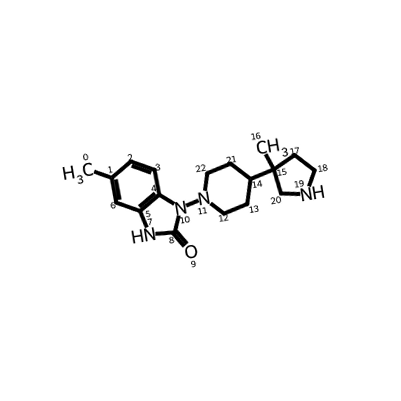 Cc1ccc2c(c1)[nH]c(=O)n2N1CCC(C2(C)CCNC2)CC1